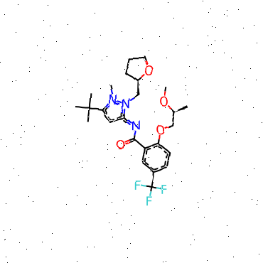 CO[C@@H](C)COc1ccc(C(F)(F)F)cc1C(=O)/N=c1\cc(C(C)(C)C)n(C)n1C[C@H]1CCCO1